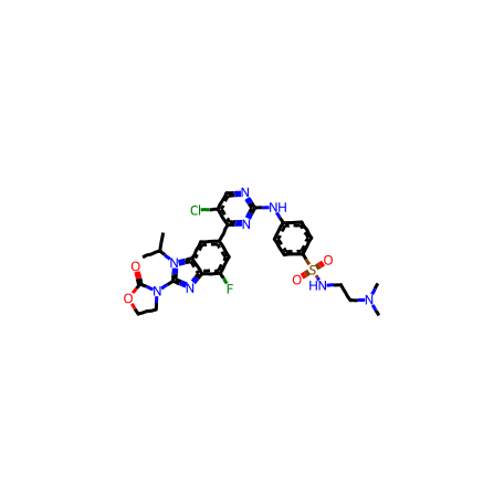 CC(C)n1c(N2CCOC2=O)nc2c(F)cc(-c3nc(Nc4ccc(S(=O)(=O)NCCN(C)C)cc4)ncc3Cl)cc21